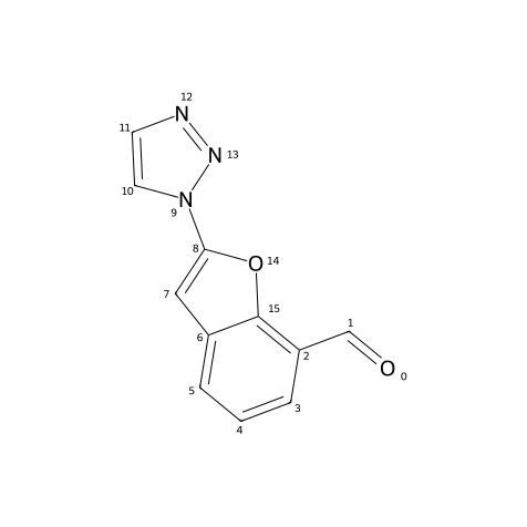 O=Cc1cccc2cc(-n3ccnn3)oc12